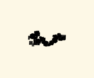 Cc1cnn(CC2CCN(CC3CN(c4ccc5c(N6CCC(=O)NC6=O)nn(C)c5c4)C3)CC2)c1-c1cnc(N)c(O[C@H](C)c2cc(F)ccc2-c2cnn(C)n2)c1